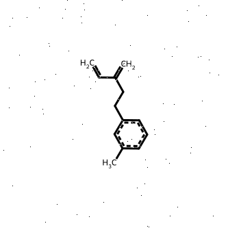 C=CC(=C)CCc1cccc(C)c1